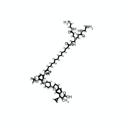 C[C@H](C(=O)O)[C@H](c1ccc2c(c1)O[C@@H](C1CCN(Cc3cc(-n4cc(CCCCCCCCCCCCC(=O)NCCN(CCC(=O)NCCN)CCC(=O)NCCN)nn4)ccc3OC(F)(F)F)CC1)CC2)C1CC1